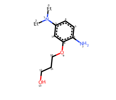 CCN(CC)c1ccc(N)c(OCCCO)c1